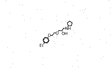 CCc1ccc(OCCOC[C@@H](O)CNC2CCCC2)cc1